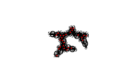 C=CCOCOc1cccc(N(c2ccccc2)c2cccc(Oc3ccc(N(c4ccccc4)c4ccc(-c5ccc(N(c6cccc(OCCOC=C)c6)c6cccc(Oc7ccc(N(c8cccc(OCCOC=C)c8)c8cccc(OCCOC=C)c8)cc7)c6)cc5)cc4)cc3)c2)c1